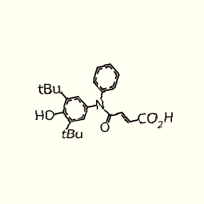 CC(C)(C)c1cc(N(C(=O)C=CC(=O)O)c2ccccc2)cc(C(C)(C)C)c1O